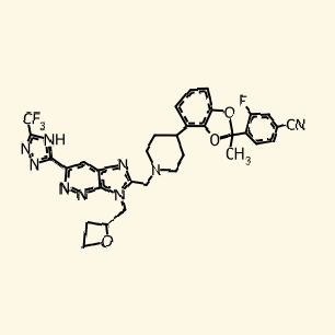 CC1(c2ccc(C#N)cc2F)Oc2cccc(C3CCN(Cc4nc5cc(-c6nnc(C(F)(F)F)[nH]6)nnc5n4C[C@@H]4CCO4)CC3)c2O1